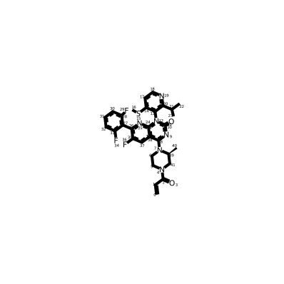 C=CC(=O)N1CCN(c2nc(=O)n(-c3c(SC)ccnc3C(C)C)c3nc(-c4c(F)cccc4F)c(F)cc23)[C@@H](C)C1